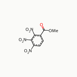 COC(=O)c1ccc([N+](=O)[O-])c([N+](=O)[O-])c1[N+](=O)[O-]